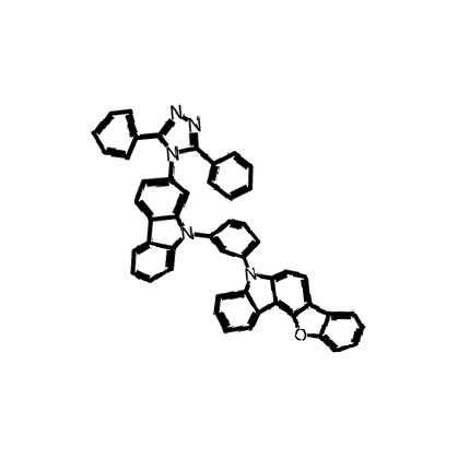 c1ccc(-c2nnc(-c3ccccc3)n2-c2ccc3c4ccccc4n(-c4cccc(-n5c6ccccc6c6c7oc8ccccc8c7ccc65)c4)c3c2)cc1